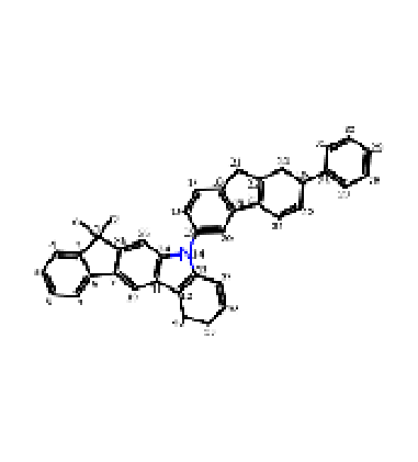 CC1(C)c2ccccc2-c2cc3c4c(n(-c5ccc6c(c5)C5=C(C6)CC(c6ccccc6)C=C5)c3cc21)C=CCC4